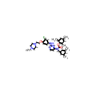 CCCN1CCN(CCOc2ccc(Nc3nccc(N(Cc4cc(C(F)(F)F)cc(C(F)(F)F)c4)C(=O)Oc4c(C)cc(C)cc4C)n3)cc2F)CC1